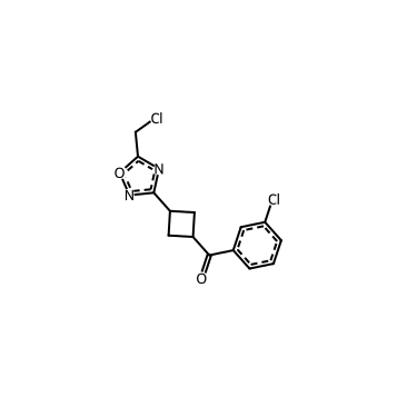 O=C(c1cccc(Cl)c1)C1CC(c2noc(CCl)n2)C1